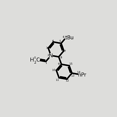 C=CN1C=CC(C(C)(C)C)=CC1c1cccc(CCC)c1